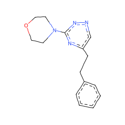 c1ccc(CCc2cnnc(N3CCOCC3)n2)cc1